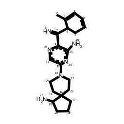 CC1=CC=CCC1C(=N)c1ncc(N2CCC3(CCCC3N)CC2)nc1N